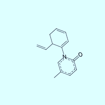 C=CC1CC=CC=C1n1cc(C)ccc1=O